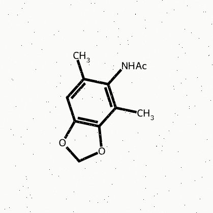 CC(=O)Nc1c(C)cc2c(c1C)OCO2